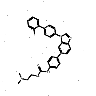 CN(C)CCNC(=O)Nc1ccc(-c2ccc3ncn(-c4ccc(-c5ccccc5F)cc4)c3c2)cc1